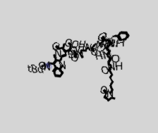 CC[C@@]1(OC(=O)N(C)CCNC(=O)CNC(=O)[C@H](CC2=CCCC=C2)NC(=O)CNC(=O)CNC(=O)CCCCCN2C(=O)C=CC2C)c2cc3n(c(=O)c2COC1O)Cc1c-3nc2ccccc2c1/C=N/OC(C)(C)C